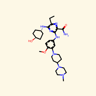 CCc1nc(C(N)=O)c(Nc2ccc(OC)c(N3CCC(N4CCN(C)CC4)CC3)c2)nc1N[C@H]1CC[C@H](O)CC1